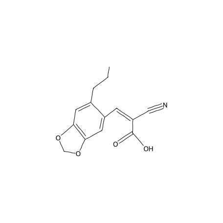 CCCc1cc2c(cc1C=C(C#N)C(=O)O)OCO2